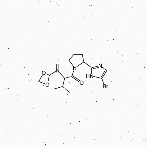 CC(C)C(NC1OCO1)C(=O)N1CCCC1c1ncc(Br)[nH]1